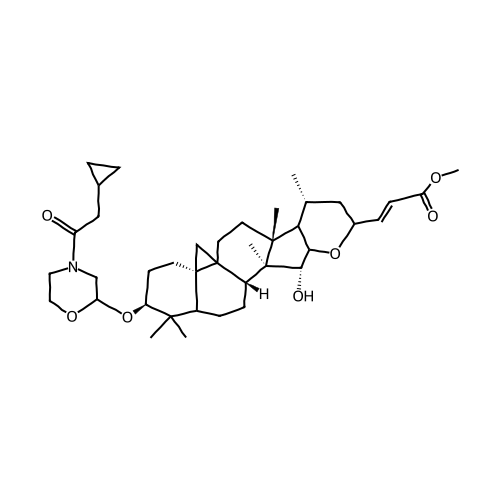 COC(=O)/C=C/C1C[C@@H](C)C2C(O1)[C@H](O)[C@@]1(C)[C@@H]3CCC4C(C)(C)[C@@H](OC5CN(C(=O)CC6CC6)CCO5)CC[C@@]45CC35CC[C@]21C